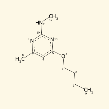 CCCCOc1cc(C)nc(NC)n1